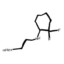 CCCCCCCCNC1CCCCC1(F)F